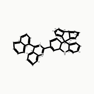 C1=CC2C(C=C1c1nc(-c3cccc4ccccc34)c3ccccc3n1)Oc1ccccc1C21c2ccccc2-c2ccccc21